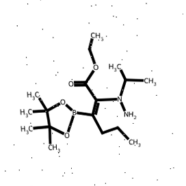 CCC/C(B1OC(C)(C)C(C)(C)O1)=C(/C(=O)OCC)N(N)C(C)C